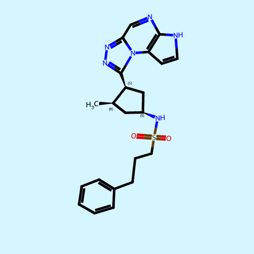 C[C@@H]1C[C@H](NS(=O)(=O)CCCc2ccccc2)C[C@@H]1c1nnc2cnc3[nH]ccc3n12